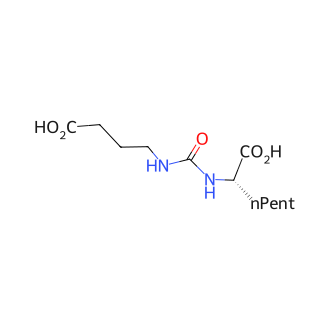 CCCCC[C@H](NC(=O)NCCCC(=O)O)C(=O)O